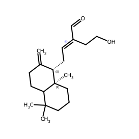 C=C1CCC2C(C)(C)CCC[C@]2(C)[C@H]1C/C=C(/C=O)CCO